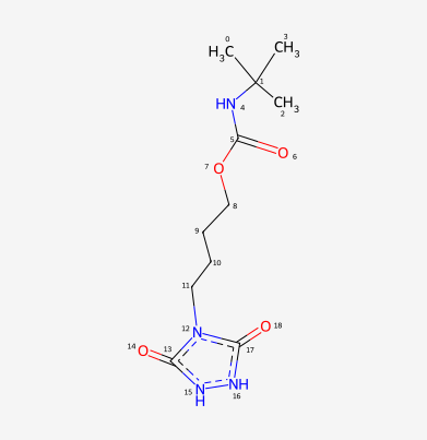 CC(C)(C)NC(=O)OCCCCn1c(=O)[nH][nH]c1=O